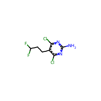 Nc1nc(Cl)c(CCC(F)F)c(Cl)n1